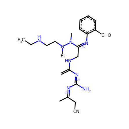 C=C(/N=C(N)\N=C(\C)CC#N)NC/C(=N/c1ccccc1C=O)N(C)N(CC)CCNCC(F)(F)F